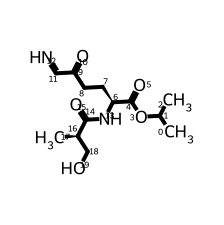 CC(C)OC(=O)[C@H](CCC(=O)C=N)NC(=O)[C@H](C)CO